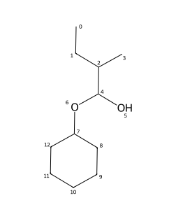 CCC(C)C(O)OC1CCCCC1